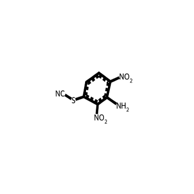 N#CSc1ccc([N+](=O)[O-])c(N)c1[N+](=O)[O-]